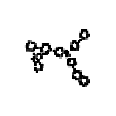 c1ccc(-c2ccc(N(c3ccc(-c4ccc(-c5ccccc5-c5cc6ccccc6o5)cc4)cc3)c3ccc(-c4ccc5ccccc5c4)cc3)cc2)cc1